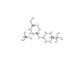 CCN1CCN(CC2CCN(C(C)(C)C)CC2)[C@H](CN(C)C)C1